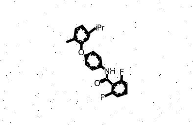 Cc1ccc(C(C)C)cc1Oc1ccc(NC(=O)c2c(F)cccc2F)cc1